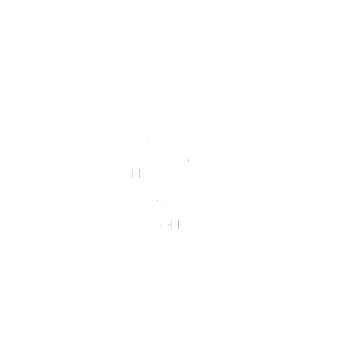 CC(C)(C(=O)OO)c1cccs1